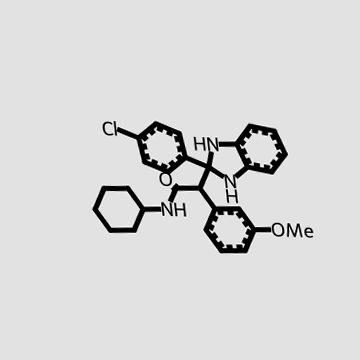 COc1cccc(C(C(=O)NC2CCCCC2)C2(c3ccc(Cl)cc3)Nc3ccccc3N2)c1